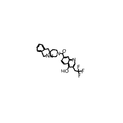 O=C(c1ccc2c(O)c(CC(F)(F)F)cnc2c1)N1CCC2(CC1)Cc1ccccc1CN2